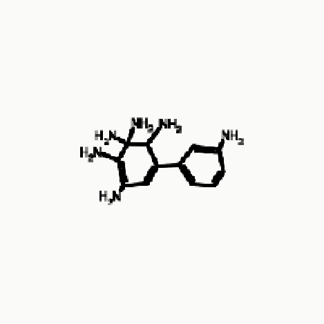 NC1=C(N)C(N)(N)C(N)C(c2cccc(N)c2)=C1